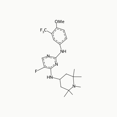 COc1ccc(Nc2ncc(F)c(NC3CC(C)(C)N(C)C(C)(C)C3)n2)cc1C(F)(F)F